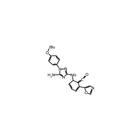 CC(C)(C)Oc1ccc(-n2nc(NC3C=CC=C(c4cnco4)C3=C=O)nc2N)cc1